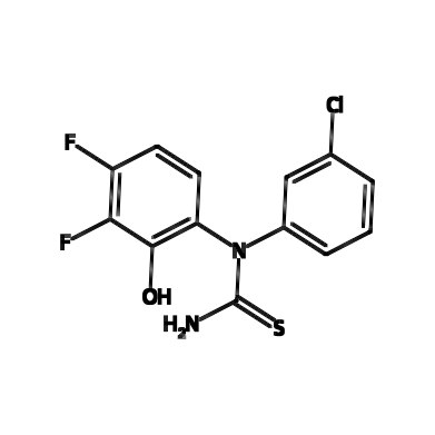 NC(=S)N(c1cccc(Cl)c1)c1ccc(F)c(F)c1O